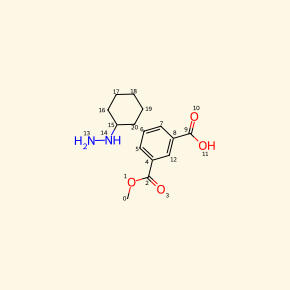 COC(=O)c1cccc(C(=O)O)c1.NNC1CCCCC1